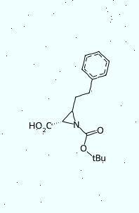 CC(C)(C)OC(=O)N1C(CCc2ccccc2)[C@H]1C(=O)O